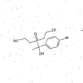 CC(O)(c1ccc(Br)cc1)P(=O)(CCC#N)CCC#N